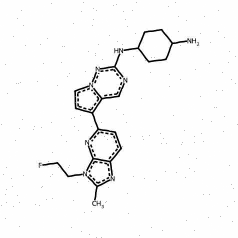 Cc1nc2ccc(-c3ccn4nc(NC5CCC(N)CC5)ncc34)nc2n1CCF